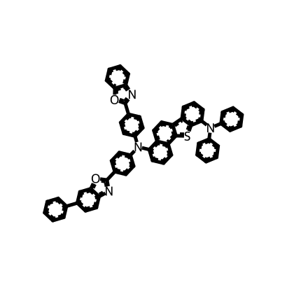 c1ccc(-c2ccc3nc(-c4ccc(N(c5ccc(-c6nc7ccccc7o6)cc5)c5cccc6c5ccc5c7cccc(N(c8ccccc8)c8ccccc8)c7sc65)cc4)oc3c2)cc1